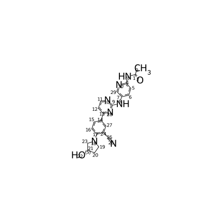 CC(=O)Nc1ccc(Nc2nccc(-c3ccc(N4CC[C@H](O)C4)c(C#N)c3)n2)cn1